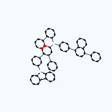 c1ccc(-c2cc(N(c3ccc(-c4ccc(-c5ccccc5)c5ccccc45)cc3)c3ccccc3-c3ccccc3)ccc2-c2cccc(-n3c4ccccc4c4ccccc43)c2)cc1